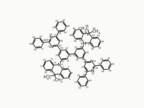 CC1(C)c2ccccc2N(c2cc(-c3cc(-c4cc(-c5ccccc5)nc(-c5ccccc5)n4)cc(N4c5ccccc5C(C)(C)c5ccccc54)c3)cc(-c3cc(-c4ccccc4)nc(-c4ccccc4)n3)c2)c2ccccc21